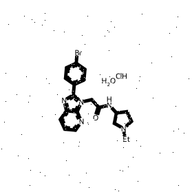 CCN1CCC(NC(=O)Cn2c(-c3ccc(Br)cc3)nc3cccnc32)C1.Cl.O